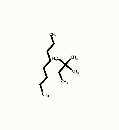 CCC(C)(C)C.CCCCCCCC